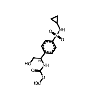 CC(C)(C)OC(=O)N[C@@H](CO)c1ccc(S(=O)(=O)NC2CC2)cc1